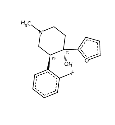 CN1CC[C@@](O)(c2ccco2)[C@@H](c2ccccc2F)C1